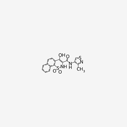 Cc1nscc1NC(=O)C1=C(O)c2ccc3ccccc3c2S(=O)(=O)N1